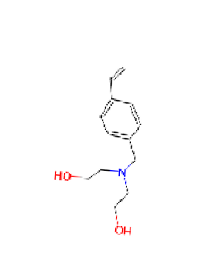 C=Cc1ccc(CN(CCO)CCO)cc1